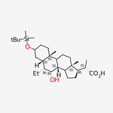 CC[C@H]1[C@@H](O)[C@H]2C3CC[C@H]([C@H](C)C(=O)O)[C@@]3(C)CCC2[C@@]2(C)CCC(O[Si](C)(C)C(C)(C)C)C[C@@H]12